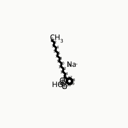 CCCCCCCCCCCCCCCCc1ccccc1S(=O)(=O)O.[Na]